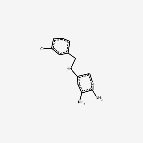 Nc1cc(NCc2cccc(Cl)c2)cnc1N